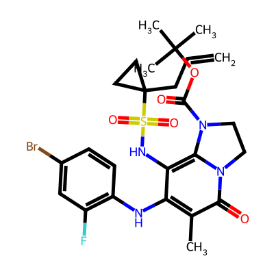 C=CCC1(S(=O)(=O)Nc2c(Nc3ccc(Br)cc3F)c(C)c(=O)n3c2N(C(=O)OC(C)(C)C)CC3)CC1